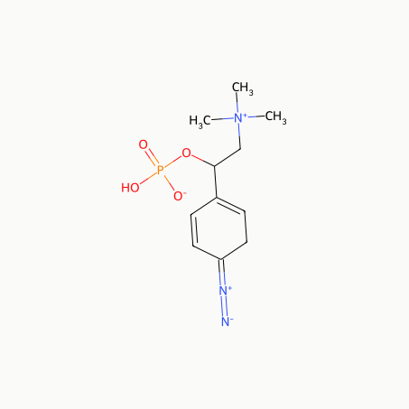 C[N+](C)(C)CC(OP(=O)([O-])O)C1=CCC(=[N+]=[N-])C=C1